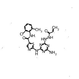 C=CC(=O)NNc1nc(N)nc(Nc2ncc(C(=O)Nc3c(C)cccc3Cl)s2)n1